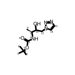 C[C@H](NC(=O)OC(C)(C)C)C(O)Cn1ccnn1